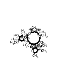 CC[C@H]1OC(=O)[C@H](C)[C@@H](O[C@@H]2C[C@@](C)(OC)[C@@H](O)[C@H](C)O2)[C@H](C)[C@@H](O[C@@H]2O[C@H](C)C[C@H](N(C)CO)[C@H]2O)[C@](C)(O)C[C@@H](C)CN(C)[C@H](C)[C@@H](O)[C@]1(C)O